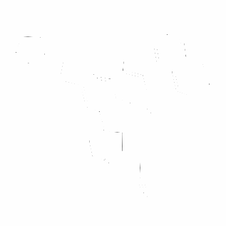 CN1CCC[C@H]1COc1nc(N2CCN[C@@H](CC#N)C2)c2ccc(-c3cccc4cccc(C#N)c34)c(F)c2n1